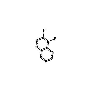 Fc1ccc2c[c]cnc2c1F